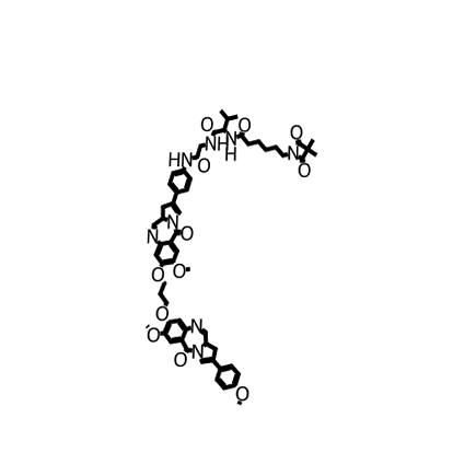 COc1ccc(C2=CN3C(=O)c4cc(OC)c(OCCCOc5cc6c(cc5OC)C(=O)N5C=C(c7ccc(NC(=O)CNC(=O)C(NC(=O)CCCCCN8C(=O)C(C)(C)C8=O)C(C)C)cc7)CC5C=N6)cc4N=CC3C2)cc1